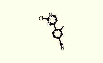 Cc1cc(C#N)ccc1-c1ccnc(Cl)n1